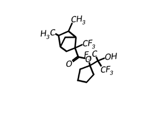 CC1C2CC(C1C)C(C(=O)OC1(C(O)(C(F)(F)F)C(F)(F)F)CCCC1)(C(F)(F)F)C2